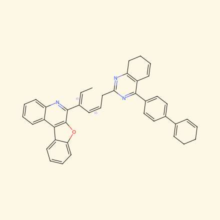 C/C=C(\C=C/Cc1nc2c(c(-c3ccc(C4=CCCC=C4)cc3)n1)C=CCC2)c1nc2ccccc2c2c1oc1ccccc12